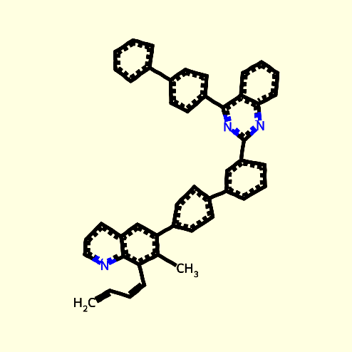 C=C/C=C\c1c(C)c(-c2ccc(-c3cccc(-c4nc(-c5ccc(-c6ccccc6)cc5)c5ccccc5n4)c3)cc2)cc2cccnc12